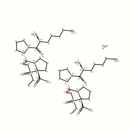 CCP(=O)(CC)[C@@]1(C(=O)[O-])CCCN1C(=O)[C@@H]1CCCN1C(=O)[C@@H](N)CCCCN.CCP(=O)(CC)[C@@]1(C(=O)[O-])CCCN1C(=O)[C@@H]1CCCN1C(=O)[C@@H](N)CCCCN.[Ca+2]